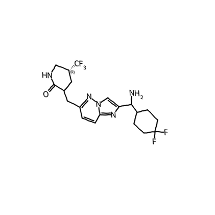 NC(c1cn2nc(CC3C[C@@H](C(F)(F)F)CNC3=O)ccc2n1)C1CCC(F)(F)CC1